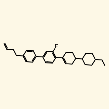 C=CCCc1ccc(-c2ccc(C3=CCC(C4CCC(CC)CC4)CC3)c(F)c2)cc1